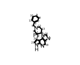 FC1(F)CN(Cc2ccccc2)CCC1n1cnc2cnc3[nH]ccc3c21